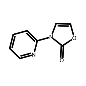 O=c1occn1-c1ccccn1